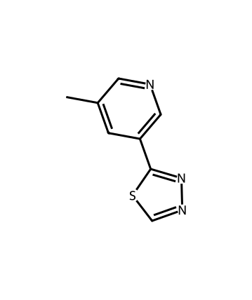 Cc1cncc(-c2nncs2)c1